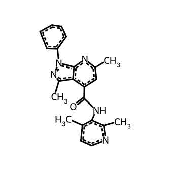 Cc1cc(C(=O)Nc2c(C)ccnc2C)c2c(C)nn(-c3ccccc3)c2n1